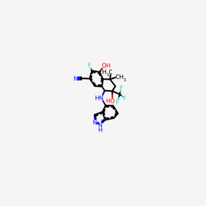 CC1(C)CC(O)(C(F)(F)F)C(Nc2cccc3[nH]ncc23)c2cc(C#N)c(F)c(O)c21